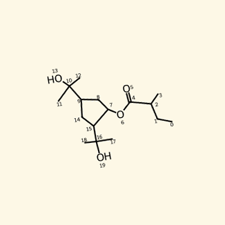 CCC(C)C(=O)OC1CC(C(C)(C)O)CC1C(C)(C)O